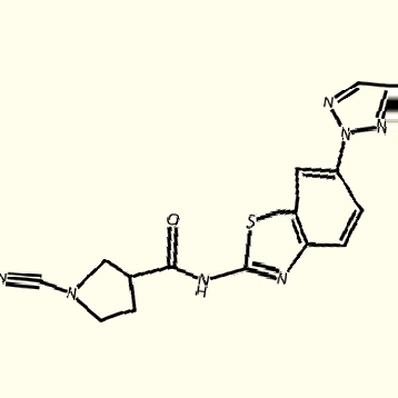 N#CN1CCC(C(=O)Nc2nc3ccc(-n4nccn4)cc3s2)C1